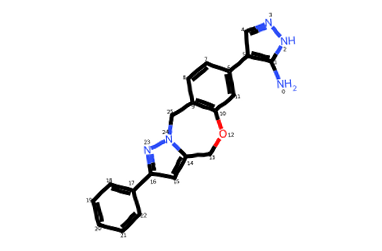 Nc1[nH]ncc1-c1ccc2c(c1)OCc1cc(-c3ccccc3)nn1C2